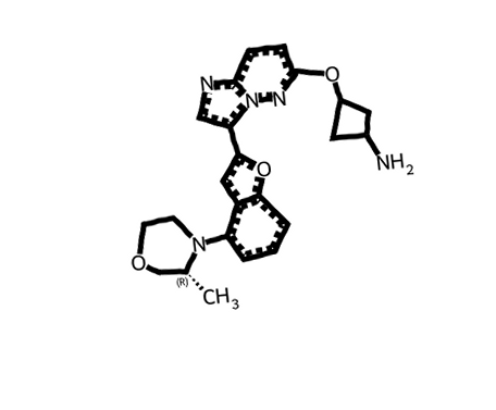 C[C@@H]1COCCN1c1cccc2oc(-c3cnc4ccc(OC5CC(N)C5)nn34)cc12